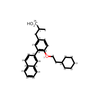 CC(Cc1ccc(OCCC2CCCCC2)c(-c2ccc3ccccc3c2)c1)C(=O)O